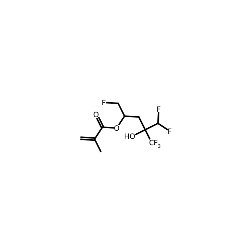 C=C(C)C(=O)OC(CF)CC(O)(C(F)F)C(F)(F)F